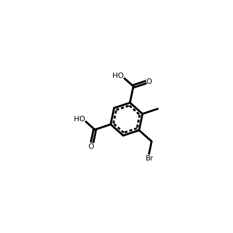 Cc1c(CBr)cc(C(=O)O)cc1C(=O)O